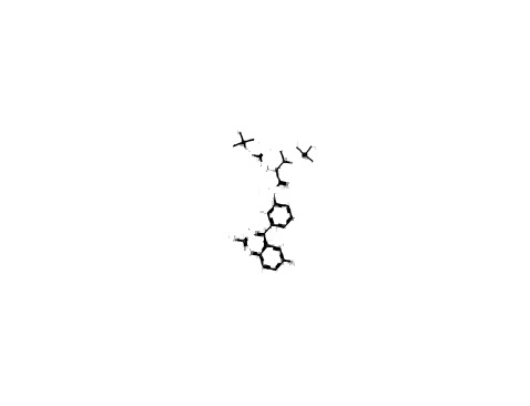 CC(OC(C)(C)C)[C@H](NC(=O)OC(C)(C)C)C(=O)Nc1cccc(-c2nc(N)nc3ccc(Cl)cc23)c1